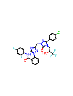 O=C(Nc1ccc(F)cc1F)c1ccccc1-n1cnc(Cn2nc(-c3ccc(Cl)cc3)n(CC(O)C(F)(F)F)c2=O)n1